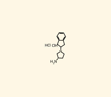 Cl.Cl.N[C@@H]1CCN(C2Cc3ccccc3C2)C1